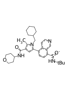 Cc1c(C(=O)NC2CCOCC2)cc(-c2ccc([S+]([O-])NC(C)(C)C)c3cnccc23)n1CC1CCCCC1